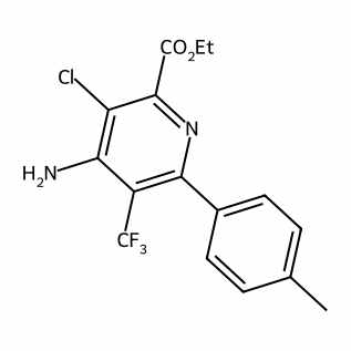 CCOC(=O)c1nc(-c2ccc(C)cc2)c(C(F)(F)F)c(N)c1Cl